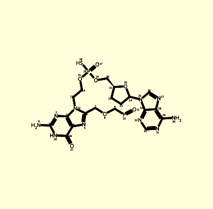 Nc1nc2c(nc(COCP=O)n2CCOP(=O)(S)OC[C@@H]2CCC(n3cnc4c(N)ncnc43)O2)c(=O)[nH]1